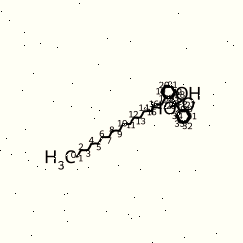 CCCCCCCCCCCCCCCCCCc1ccccc1C(O)(C(=O)O)c1ccccc1